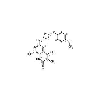 Cc1nc(N[C@H]2C[C@@H](Sc3ccc(OC(F)(F)F)cc3)C2)nc2c1NC(=O)[C@H](C)N2C